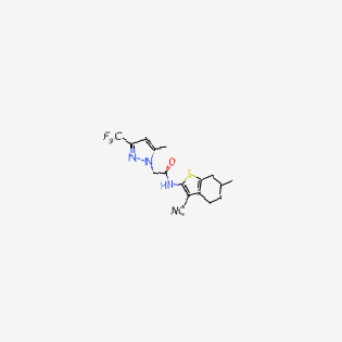 Cc1cc(C(F)(F)F)nn1CC(=O)Nc1sc2c(c1C#N)CCC(C)C2